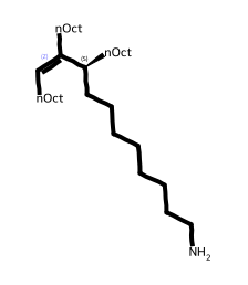 CCCCCCCC/C=C(/CCCCCCCC)[C@@H](CCCCCCCC)CCCCCCCCN